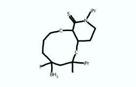 BC1(I)CCCCC2C(=S)N(C(C)C)CCC2CC(C)(C(C)C)C1